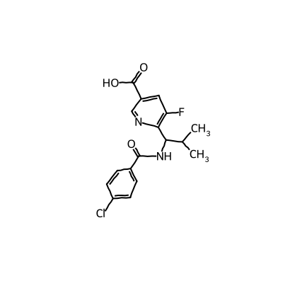 CC(C)C(NC(=O)c1ccc(Cl)cc1)c1ncc(C(=O)O)cc1F